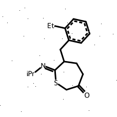 CCc1ccccc1CC1CCC(=O)CS/C1=N\C(C)C